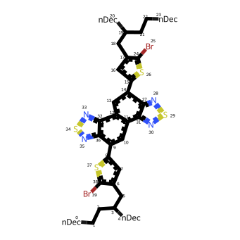 CCCCCCCCCCCCC(CCCCCCCCCC)Cc1cc(-c2cc3c(cc(-c4cc(CC(CCCCCCCCCC)CCCCCCCCCCCC)c(Br)s4)c4nsnc43)c3nsnc23)sc1Br